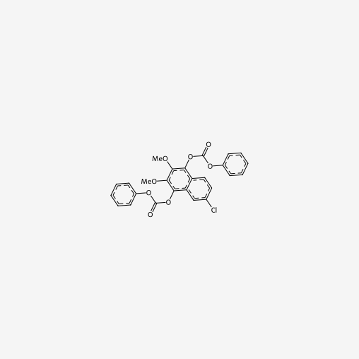 COc1c(OC)c(OC(=O)Oc2ccccc2)c2cc(Cl)ccc2c1OC(=O)Oc1ccccc1